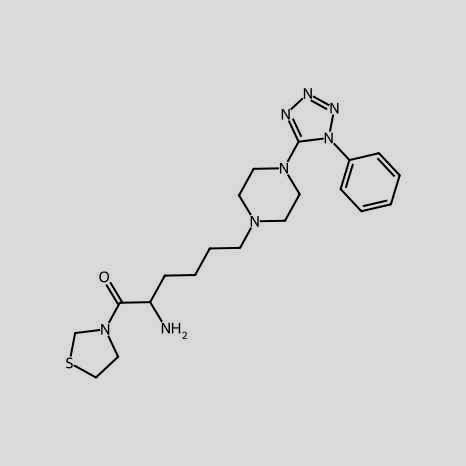 NC(CCCCN1CCN(c2nnnn2-c2ccccc2)CC1)C(=O)N1CCSC1